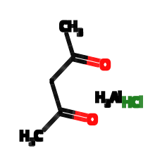 CC(=O)CC(C)=O.Cl.[AlH3]